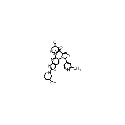 Cc1cc(C2OC=C(C(N)=O)N2c2cc3sc(N4CCCC(O)C4)nc3nc2N2CCC(O)CC2)ccn1